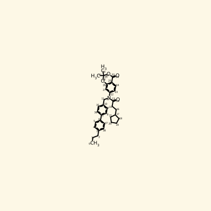 CCCc1ccc(-c2ccc(CN(C(=O)CCC3CCCC3)c3ccc4c(c3)OC(C)(C)OC4=O)cc2)cc1